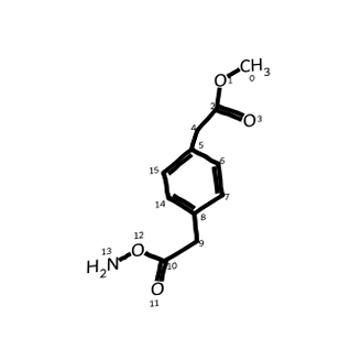 COC(=O)Cc1ccc(CC(=O)ON)cc1